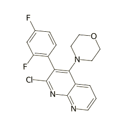 Fc1ccc(-c2c(Cl)nc3ncccc3c2N2CCOCC2)c(F)c1